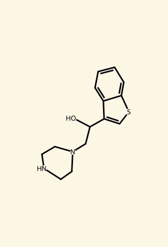 OC(CN1CCNCC1)c1csc2ccccc12